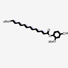 CCCCCCCCC/C=C/C=C/C=C/C=C/C=C/C=C/C(=O)Oc1ccc(C=O)cc1OC